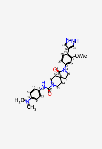 COc1cc(N2CCC3(CCN(C(=O)Nc4ccc(N(C)C)cc4)CC3)C2=O)ccc1-c1cn[nH]c1